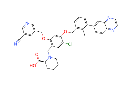 Cc1c(COc2cc(OCc3cncc(C#N)c3)c(CN3CCCC[C@H]3C(=O)O)cc2Cl)cccc1-c1ccc2nccnc2c1